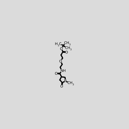 CN1CC(C(=O)NCCOCCC(=O)OC(C)(C)C)CC1=O